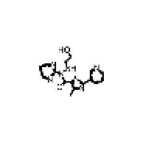 Cc1nc(-c2cccnc2)sc1C(=O)N(NCCO)c1ncccn1